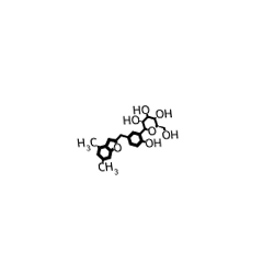 Cc1cc(C)c2cc(Cc3ccc(O)c(C4O[C@H](CO)[C@@H](O)C(O)[C@H]4O)c3)oc2c1